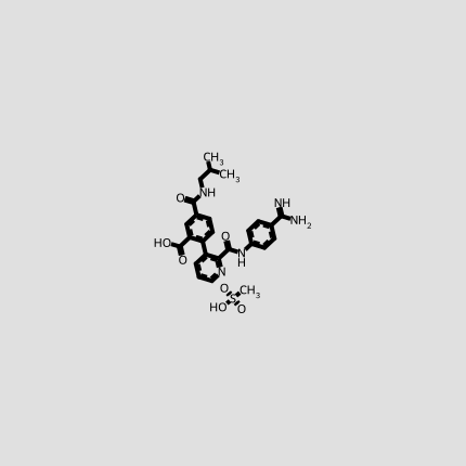 CC(C)CNC(=O)c1ccc(-c2cccnc2C(=O)Nc2ccc(C(=N)N)cc2)c(C(=O)O)c1.CS(=O)(=O)O